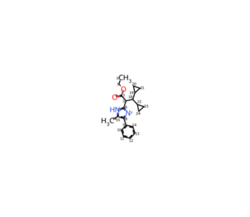 CCOC(=O)C(c1nc(-c2ccccc2)c(C)[nH]1)C(C1CC1)C1CC1